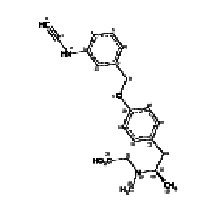 C#CNc1cccc(COc2ccc(C[C@@H](C)N(C)CC(=O)O)cc2)c1